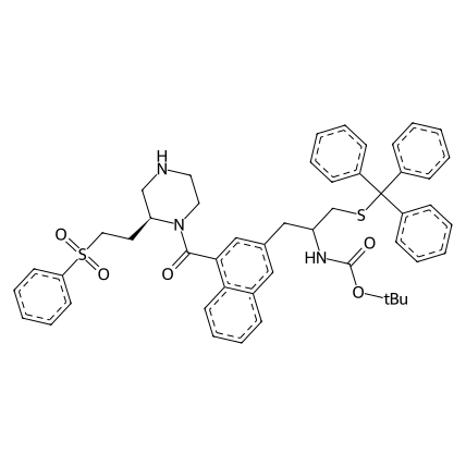 CC(C)(C)OC(=O)NC(CSC(c1ccccc1)(c1ccccc1)c1ccccc1)Cc1cc(C(=O)N2CCNC[C@@H]2CCS(=O)(=O)c2ccccc2)c2ccccc2c1